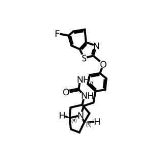 NC(=O)NC1C[C@H]2CC[C@@H](C1)N2CCc1ccc(Oc2nc3ccc(F)cc3s2)cc1